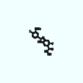 COc1cc(-c2nc3cc(F)c(C(=O)NO)cc3[nH]2)ccc1F